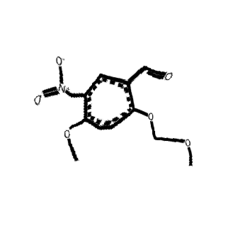 COCOc1cc(OC)c([N+](=O)[O-])cc1C=O